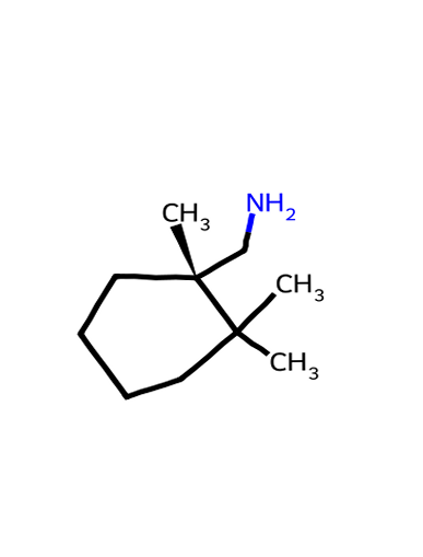 CC1(C)CCCC[C@]1(C)CN